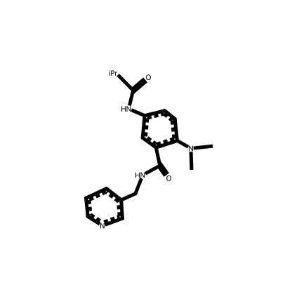 CC(C)C(=O)Nc1ccc(N(C)C)c(C(=O)NCc2cccnc2)c1